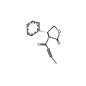 CC#CC(=O)N1C(=O)OC[C@H]1c1ccccc1